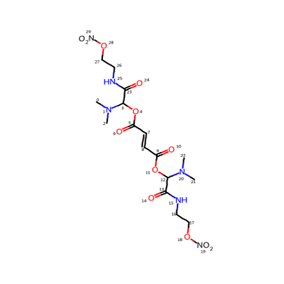 CN(C)C(OC(=O)/C=C/C(=O)OC(C(=O)NCCO[N+](=O)[O-])N(C)C)C(=O)NCCO[N+](=O)[O-]